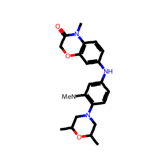 CNc1cc(Nc2ccc3c(c2)OCC(=O)N3C)ccc1N1CC(C)OC(C)C1